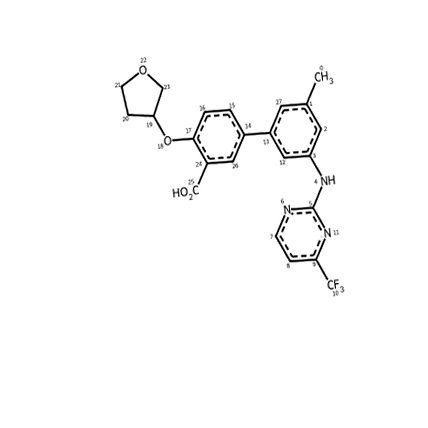 Cc1cc(Nc2nccc(C(F)(F)F)n2)cc(-c2ccc(OC3CCOC3)c(C(=O)O)c2)c1